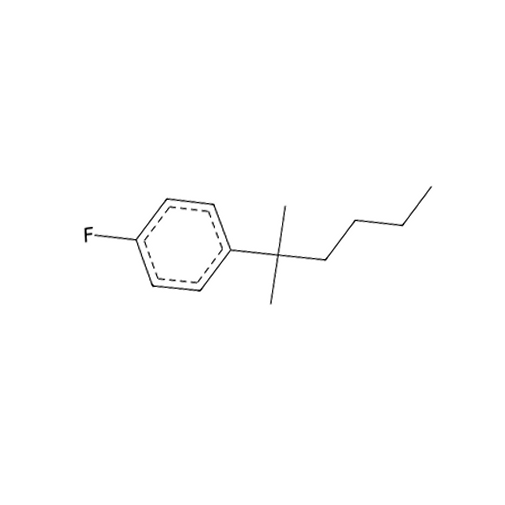 CCCCC(C)(C)c1ccc(F)cc1